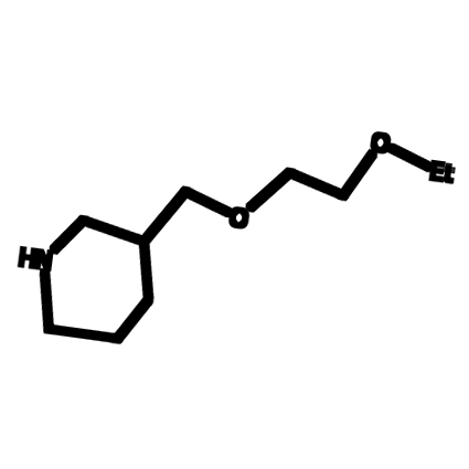 CCOCCOCC1CCCNC1